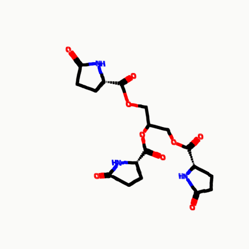 O=C1CC[C@@H](C(=O)OCC(COC(=O)[C@@H]2CCC(=O)N2)OC(=O)[C@@H]2CCC(=O)N2)N1